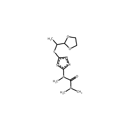 CC(Sc1nnc(N(C)C(=O)N(C)C)s1)C1OCCO1